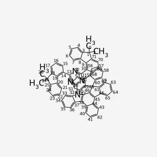 CC1(C)c2ccccc2-c2c(-c3nc(-c4cccc5c4-c4ccccc4C5(C)C)nc(-n4c5ccccc5c5c6ccccc6c6c(c54)C4(c5ccccc5-c5ccccc54)c4ccccc4-6)n3)cccc21